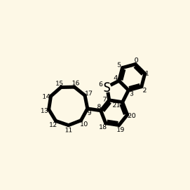 c1ccc2c(c1)sc1c(C3CCCCCCCC3)cccc12